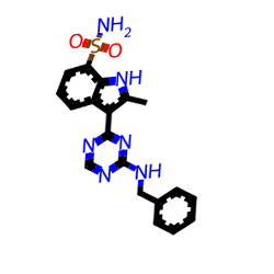 Cc1[nH]c2c(S(N)(=O)=O)cccc2c1-c1ncnc(NCc2ccccc2)n1